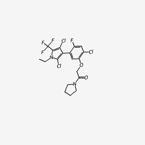 CCn1c(Cl)c(-c2cc(OCC(=O)N3CCCC3)c(Cl)cc2F)c(Cl)c1C(F)(F)F